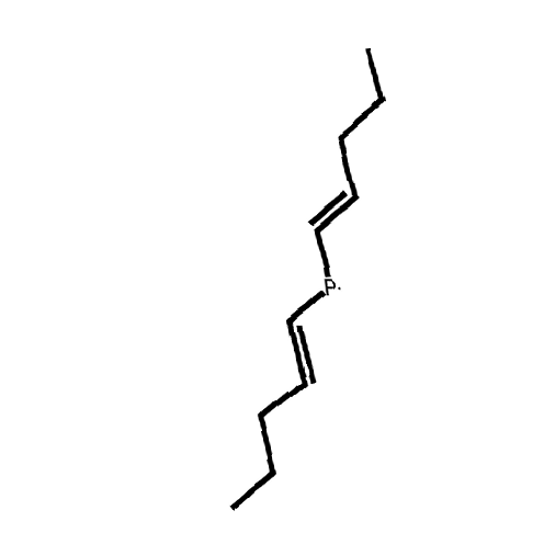 CCCC=C[P]C=CCCC